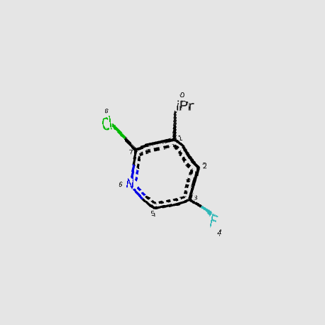 CC(C)c1cc(F)cnc1Cl